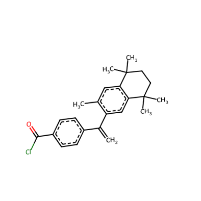 C=C(c1ccc(C(=O)Cl)cc1)c1cc2c(cc1C)C(C)(C)CCC2(C)C